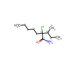 CCCCCC(F)(C(N)=O)C(C)CC